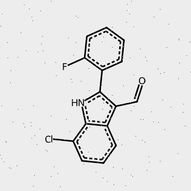 O=Cc1c(-c2ccccc2F)[nH]c2c(Cl)cccc12